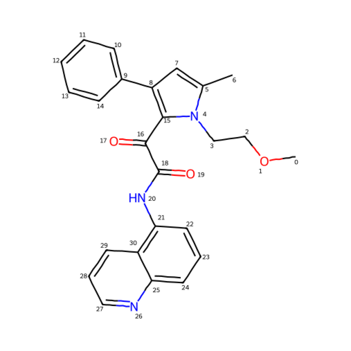 COCCn1c(C)cc(-c2ccccc2)c1C(=O)C(=O)Nc1cccc2ncccc12